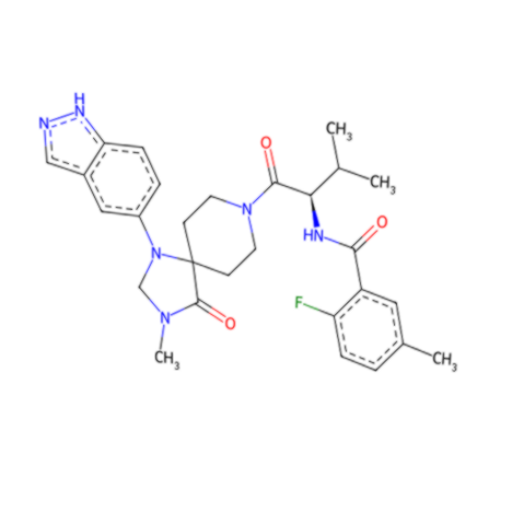 Cc1ccc(F)c(C(=O)N[C@@H](C(=O)N2CCC3(CC2)C(=O)N(C)CN3c2ccc3[nH]ncc3c2)C(C)C)c1